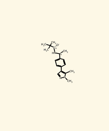 Cc1c(-c2ccc([C@H](C)N[S@+]([O-])C(C)(C)C)cc2)cnn1C